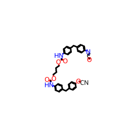 N#COc1ccc(Cc2ccc(NC(=O)OCCCCOC(=O)Nc3ccc(Cc4ccc(N=C=O)cc4)cc3)cc2)cc1